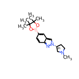 CN1CC[C@@H](n2cc3cc(B4OC(C)(C)C(C)(C)O4)ccc3n2)C1